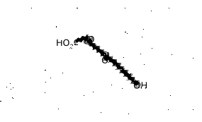 CC(CCCC(=O)O)OC(=O)CCCCCCCOC(=O)CCCCCCCCCCCCCCCO